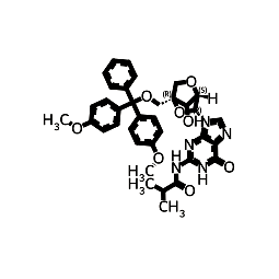 COc1ccc(C(OC[C@]23CO[C@@H](C2O)[C@H](n2cnc4c(=O)[nH]c(NC(=O)C(C)C)nc42)O3)(c2ccccc2)c2ccc(OC)cc2)cc1